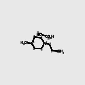 CN1CCN(CCN)CC1.O=C(O)O